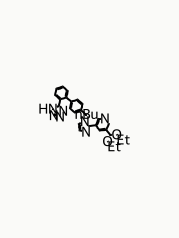 CCCCc1ncc(C(OCC)OCC)cc1-c1nccn1Cc1ccc(-c2ccccc2-c2nnn[nH]2)cc1